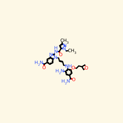 CCn1nc(C)cc1C(=O)Nc1nc2cc(C(N)=O)ccc2n1CC=CCNc1c(N)cc(C(N)=O)cc1OCCC1COC1